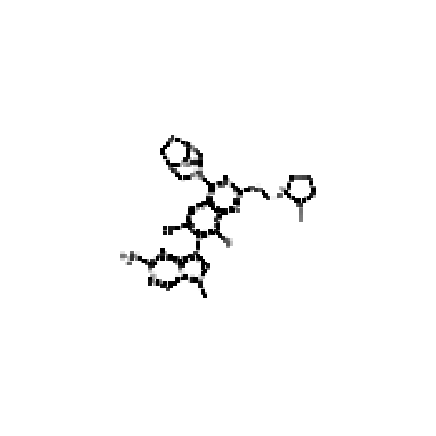 CN1CCC[C@H]1COc1nc(N2CC3CCC(C2)N3)c2cc(Cl)c(-c3cn(C)c4cnc(N)nc34)c(F)c2n1